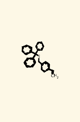 C=Cc1ccc(CSC(c2ccccc2)(c2ccccc2)c2ccccc2)cc1